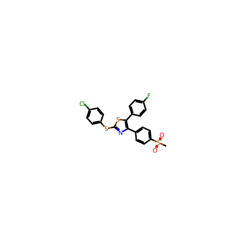 CS(=O)(=O)c1ccc(-c2nc(Sc3ccc(Cl)cc3)sc2-c2ccc(F)cc2)cc1